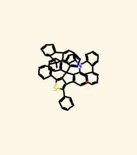 CC1(C)c2ccccc2-c2ccc(N(c3ccccc3-c3ccccc3)c3cccc4c3C(c3ccccc3)(c3ccccc3)c3c(-c5ccccc5)sc(-c5ccccc5)c3-4)cc21